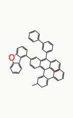 CC1C=C(c2c3ccccc3c(-c3cccc(-c4ccccc4)c3)c3cc(-c4cccc5oc6ccccc6c45)ccc23)C(c2ccccc2)=CC1